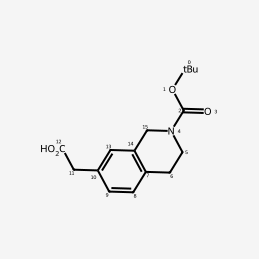 CC(C)(C)OC(=O)N1CCc2ccc(CC(=O)O)cc2C1